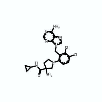 Nc1ncnc2c1ncn2Cc1c(N2CCC(N)(C(=O)NC3CC3)C2)ccc(Cl)c1Cl